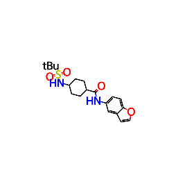 CC(C)(C)S(=O)(=O)NC1CCC(C(=O)Nc2ccc3occc3c2)CC1